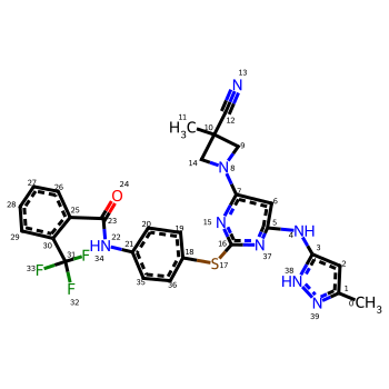 Cc1cc(Nc2cc(N3CC(C)(C#N)C3)nc(Sc3ccc(NC(=O)c4ccccc4C(F)(F)F)cc3)n2)[nH]n1